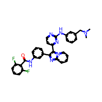 CN(C)Cc1cccc(Nc2nccc(-c3c(-c4cccc(NC(=O)c5c(F)cccc5F)c4)nc4ccccn34)n2)c1